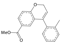 COC(=O)c1ccc2c(c1)C(c1ccccc1C)=CCO2